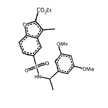 CCOC(=O)c1oc2ccc(S(=O)(=O)NC(C)c3cc(OC)cc(OC)c3)cc2c1C